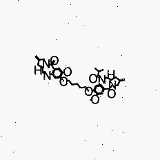 C=C1C[C@H]2CN(C(=O)C(C)C)c3cc(OCCCCCOc4cc5c(cc4OC)C(=O)N4CC(=C)C[C@H]4C=N5)c(OC)cc3C(=O)N2C1